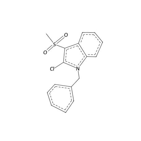 CS(=O)(=O)c1c(Cl)n(Cc2ccccc2)c2ccccc12